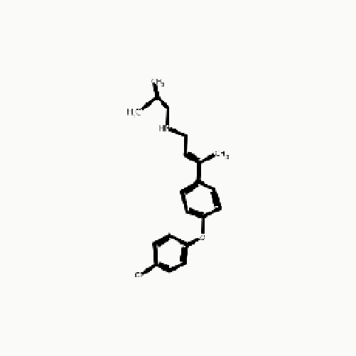 CC(=CCNCC(C)C)c1ccc(Oc2ccc(Cl)cc2)cc1